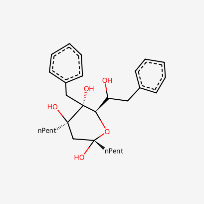 CCCCC[C@@]1(O)C[C@](O)(CCCCC)[C@@](O)(Cc2ccccc2)[C@@H](C(O)Cc2ccccc2)O1